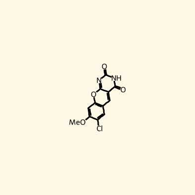 COc1cc2oc3nc(=O)[nH]c(=O)c-3cc2cc1Cl